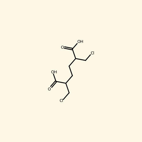 O=C(O)C(CCl)CCC(CCl)C(=O)O